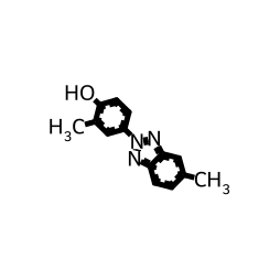 Cc1ccc2nn(-c3ccc(O)c(C)c3)nc2c1